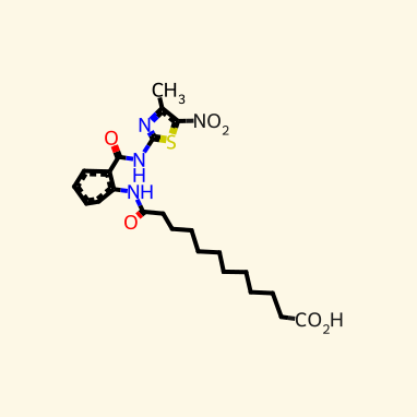 Cc1nc(NC(=O)c2ccccc2NC(=O)CCCCCCCCCCC(=O)O)sc1[N+](=O)[O-]